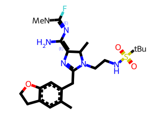 CN/C(F)=N\C(N)=C1\N=C(Cc2cc3c(cc2C)CCO3)N(CCNS(=O)(=O)C(C)(C)C)C1C